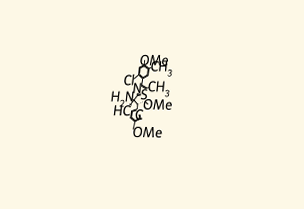 C#CC(N)(c1nc(-c2cc(C)c(OC)cc2Cl)c(C)s1)[C@H](COC)c1ccc(COC)cc1